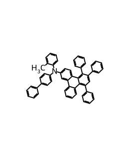 Cc1ccccc1N(c1ccc(-c2ccccc2)cc1)c1ccc2c(c1)c1ccccc1c1c(-c3ccccc3)cc(-c3ccccc3)c(-c3ccccc3)c21